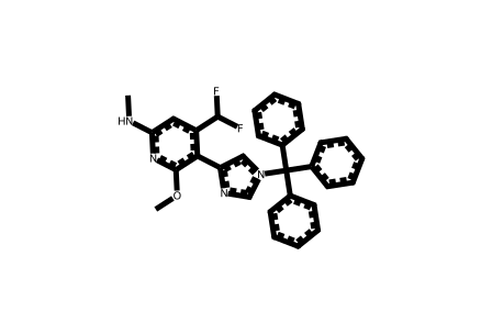 CNc1cc(C(F)F)c(-c2cn(C(c3ccccc3)(c3ccccc3)c3ccccc3)cn2)c(OC)n1